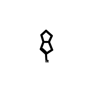 [CH2]CC1=CC2CCCC2C1